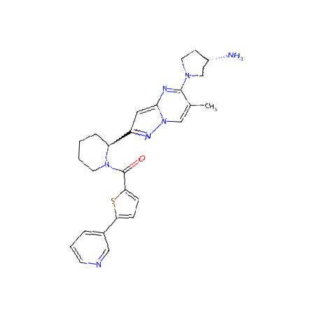 Cc1cn2nc([C@@H]3CCCCN3C(=O)c3ccc(-c4cccnc4)s3)cc2nc1N1CC[C@H](N)C1